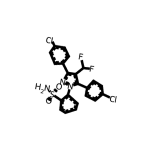 NS(=O)(=O)c1ccccc1-n1nc(-c2ccc(Cl)cc2)c(C(F)F)c1-c1ccc(Cl)cc1